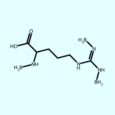 B/N=C(/NB)NCCCC(NB)C(=O)O